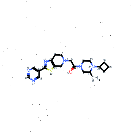 CC1CN(C(=O)CN2CCc3nc(-c4cncnc4)sc3C2)CCN1C1CCC1